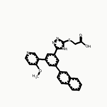 COc1ccncc1-c1cc(-c2ccc3ccccc3c2)cc(-c2nnc(SCC(=O)O)[nH]2)c1